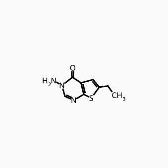 CCc1cc2c(=O)n(N)cnc2s1